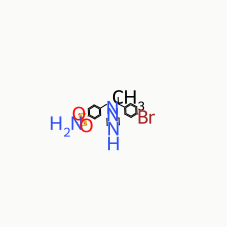 CC(c1ccc(Br)cc1)N(Cc1ccc(S(N)(=O)=O)cc1)N1CCNCC1